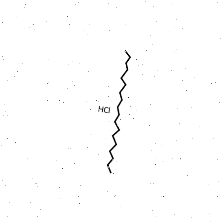 Cl.[CH2]CCCCCCCCCCCCCCCCC